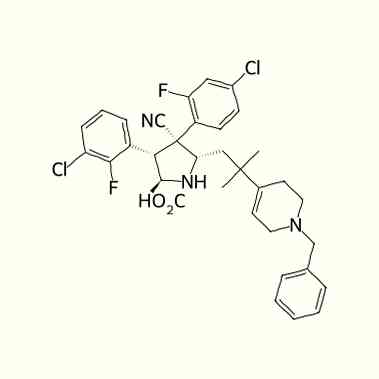 CC(C)(C[C@@H]1N[C@@H](C(=O)O)[C@H](c2cccc(Cl)c2F)[C@@]1(C#N)c1ccc(Cl)cc1F)C1=CCN(Cc2ccccc2)CC1